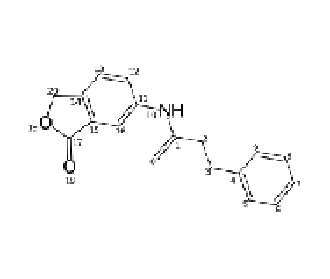 C=C(CCc1ccccc1)Nc1ccc2c(c1)C(=O)OC2